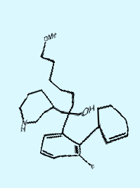 COCCCCC(O)(c1cccc(F)c1C1C=CCCC1)C1CCCNC1